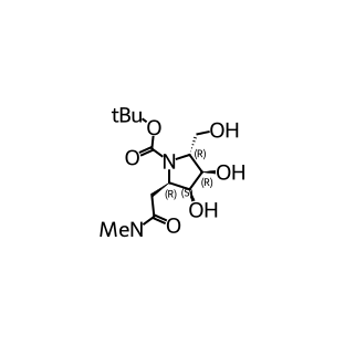 CNC(=O)C[C@@H]1[C@H](O)[C@H](O)[C@@H](CO)N1C(=O)OC(C)(C)C